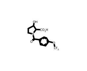 O=C(O)C1C(O)CCN1C(=O)c1ccc(OC(F)(F)F)cc1